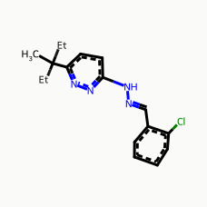 CCC(C)(CC)c1ccc(NN=Cc2ccccc2Cl)nn1